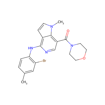 Cc1ccc(Nc2ncc(C(=O)N3CCOCC3)c3c2ccn3C)c(Br)c1